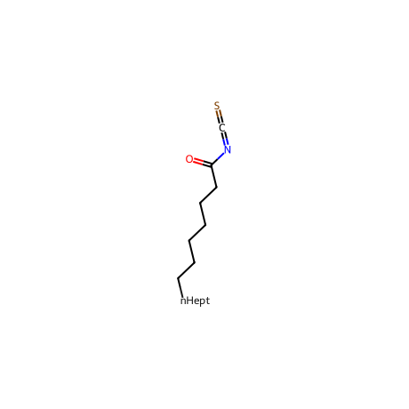 CCCCCCCCCCCCCC(=O)N=C=S